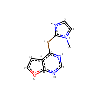 Cn1ccnc1Sc1ncnc2occc12